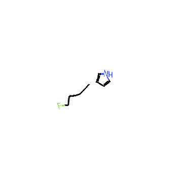 CCCCF.c1cc[nH]c1